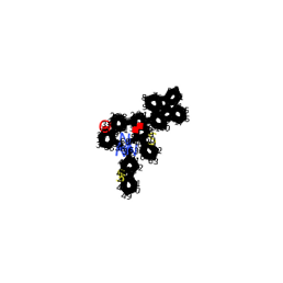 c1ccc2c(c1)-c1ccccc1C21c2ccccc2-c2ccc(-c3ccc(-c4ccc5oc6cccc(-c7nc(-c8ccc9c(c8)sc8ccccc89)nc(-c8cccc9sc%10ccccc%10c89)n7)c6c5c4)cc3)cc21